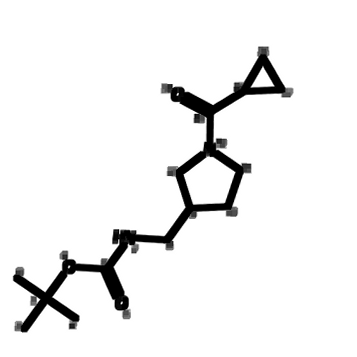 CC(C)(C)OC(=O)NCC1CCN(C(=O)C2CC2)C1